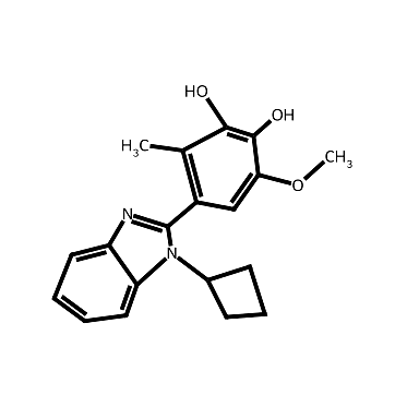 COc1cc(-c2nc3ccccc3n2C2CCC2)c(C)c(O)c1O